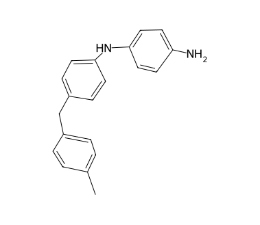 Cc1ccc(Cc2ccc(Nc3ccc(N)cc3)cc2)cc1